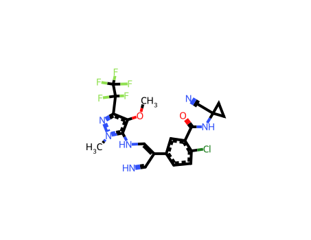 COc1c(C(F)(F)C(F)(F)F)nn(C)c1N/C=C(\C=N)c1ccc(Cl)c(C(=O)NC2(C#N)CC2)c1